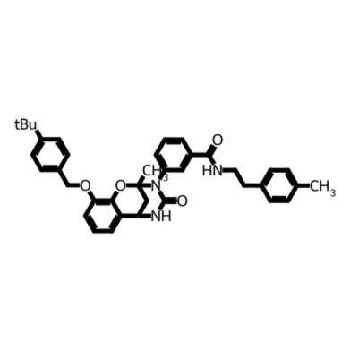 Cc1ccc(CCNC(=O)c2cccc(N3C(=O)NC4CC3(C)Oc3c(OCc5ccc(C(C)(C)C)cc5)cccc34)c2)cc1